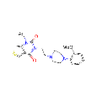 COc1ccccc1N1CCN(CCn2c(=O)c3cscc3n(C(C)=O)c2=O)CC1